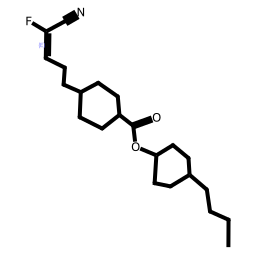 CCCCC1CCC(OC(=O)C2CCC(CC/C=C(/F)C#N)CC2)CC1